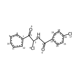 O=C(NC(Cl)C(=O)c1ccccc1)c1ccc(Cl)cc1